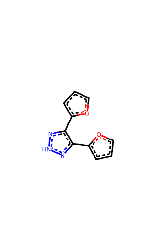 c1coc(-c2n[nH]nc2-c2ccco2)c1